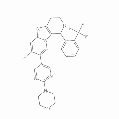 Fc1cc2nc3c(n2cc1-c1cnc(N2CCOCC2)nc1)C(c1ccccc1C(F)(F)F)OCC3